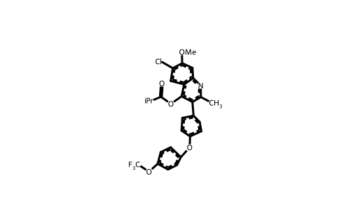 COc1cc2nc(C)c(-c3ccc(Oc4ccc(OC(F)(F)F)cc4)cc3)c(OC(=O)C(C)C)c2cc1Cl